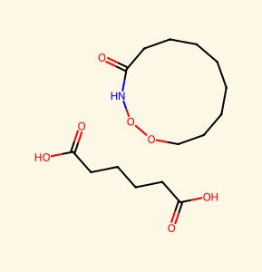 O=C(O)CCCCC(=O)O.O=C1CCCCCCCCOON1